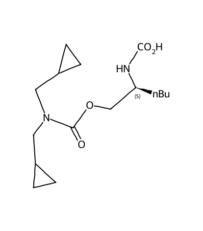 CCCC[C@@H](COC(=O)N(CC1CC1)CC1CC1)NC(=O)O